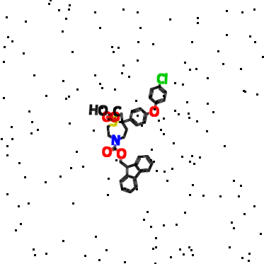 O=C(O)CC1(c2ccc(Oc3ccc(Cl)cc3)cc2)CCN(C(=O)OCC2c3ccccc3-c3ccccc32)CCS1(=O)=O